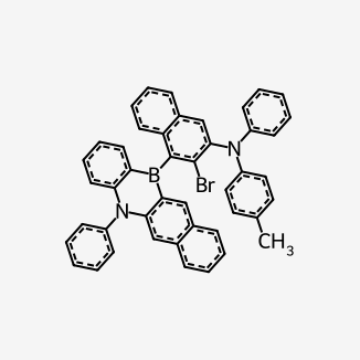 Cc1ccc(N(c2ccccc2)c2cc3ccccc3c(B3c4ccccc4N(c4ccccc4)c4cc5ccccc5cc43)c2Br)cc1